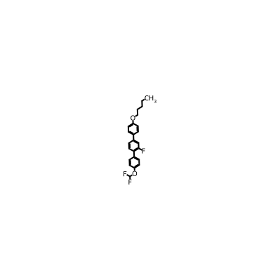 CCCCCOc1ccc(-c2ccc(-c3ccc(OC(F)F)cc3)c(F)c2)cc1